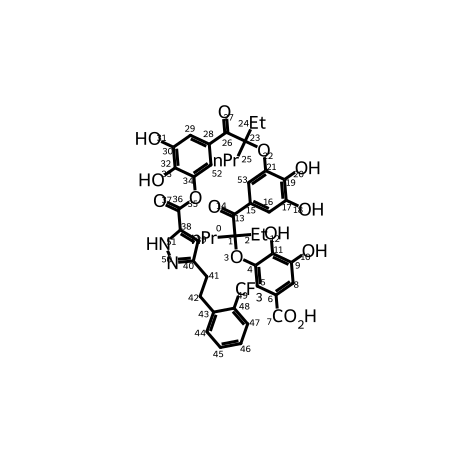 CCCC(CC)(Oc1cc(C(=O)O)cc(O)c1O)C(=O)c1cc(O)c(O)c(OC(CC)(CCC)C(=O)c2cc(O)c(O)c(OC(=O)c3cc(CCc4ccccc4C(F)(F)F)n[nH]3)c2)c1